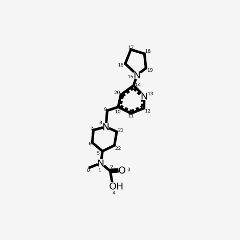 CN(C(=O)O)C1CCN(Cc2ccnc(N3CCCC3)c2)CC1